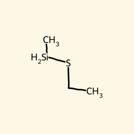 CCS[SiH2]C